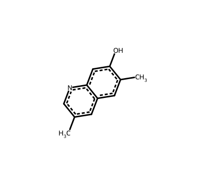 Cc1cnc2cc(O)c(C)cc2c1